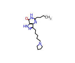 CCCCc1nc2c(CCCCCN3CCCC3)n[nH]c2c(=O)[nH]1